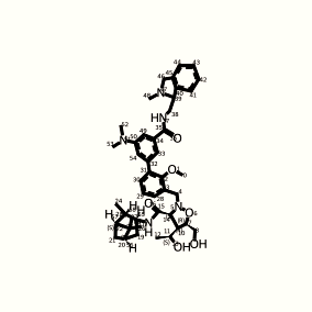 COc1c(CN2O[C@@H](CO)[C@@H]([C@H](C)O)[C@H]2C(=O)N[C@H]2C[C@H]3C[C@@H]([C@@H]2C)C3(C)C)cccc1-c1cc(C(=O)NCC2c3ccccc3CN2C)cc(N(C)C)c1